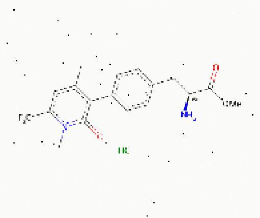 COC(=O)[C@@H](N)Cc1ccc(-c2c(C)cc(C(F)(F)F)n(C)c2=O)cc1.Cl